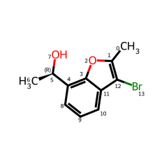 Cc1oc2c([C@@H](C)O)cccc2c1Br